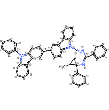 CC1[C@H](Cn2c3ccccc3c3cc(-c4ccc5c(c4)c4ccccc4n5-c4ccccc4)ccc32)C1(/N=C(\N)c1ccccc1)c1ccccc1